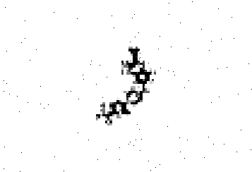 CNC(=O)c1ccc(N2CCN(Cc3cc(F)c4nc(C5CC5)c(=O)[nH]c4c3)CC2)c(C)n1